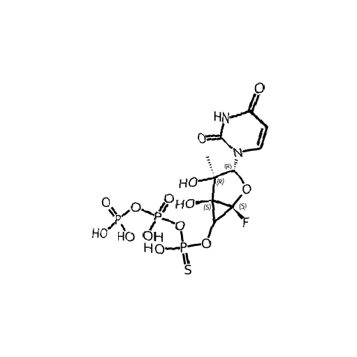 C[C@]1(O)[C@H](n2ccc(=O)[nH]c2=O)O[C@]2(F)C(OP(O)(=S)OP(=O)(O)OP(=O)(O)O)[C@]12O